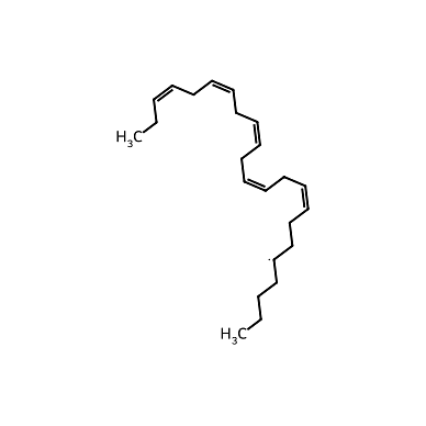 CC/C=C\C/C=C\C/C=C\C/C=C\C/C=C\CC[CH]CCCC